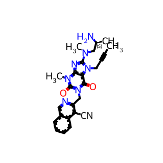 CC#CCn1c(N(C)C[C@H](C)N)nc2c1c(=O)n(Cc1ncc3ccccc3c1C#N)c(=O)n2C